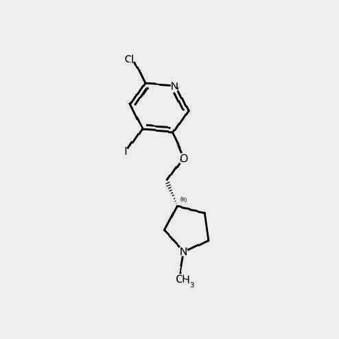 CN1CC[C@@H](COc2cnc(Cl)cc2I)C1